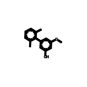 COc1cc(O)cc(-c2c(C)cccc2C)c1